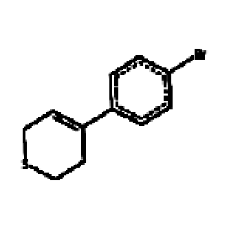 Brc1ccc(C2=CCSCC2)cc1